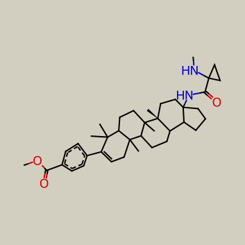 CNC1(C(=O)NC23CCCC2C2CCC4C5(C)CC=C(c6ccc(C(=O)OC)cc6)C(C)(C)C5CCC4(C)[C@]2(C)CC3)CC1